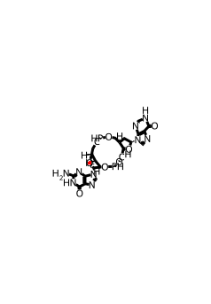 Nc1nc2c(ncn2[C@@H]2O[C@@H]3CCPOC[C@H]4C[C@H](n5cnc6c(=O)[nH]cnc65)O[C@@H]4COPO[C@@H]2[C@@H]3F)c(=O)[nH]1